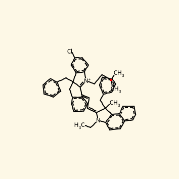 CCN1/C(=C/C=C/C2=[N+](CCC(C)C)c3ccc(Cl)cc3C2(Cc2ccccc2)Cc2ccccc2)C(C)(Cc2ccccc2)c2c1ccc1ccccc21